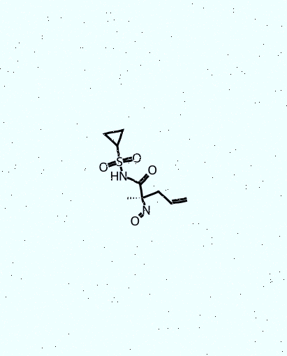 C=CC[C@@](C)(N=O)C(=O)NS(=O)(=O)C1CC1